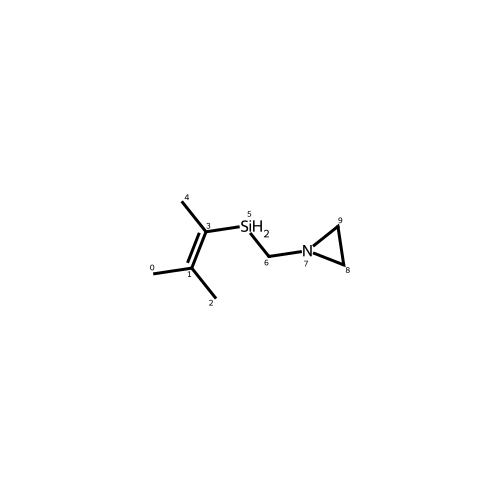 CC(C)=C(C)[SiH2]CN1CC1